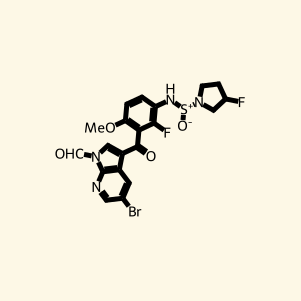 COc1ccc(N[S+]([O-])N2CCC(F)C2)c(F)c1C(=O)c1cn(C=O)c2ncc(Br)cc12